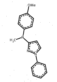 COc1ccc(N(C)c2ccn(-c3ccccc3)n2)cc1